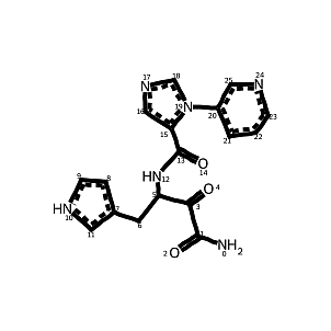 NC(=O)C(=O)C(Cc1cc[nH]c1)NC(=O)c1cncn1-c1cccnc1